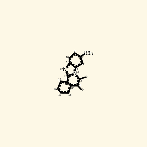 Cc1c(C)n2c3cc(C(C)(C)C)ccc3nc2c2ccccc12